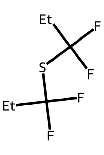 CCC(F)(F)SC(F)(F)CC